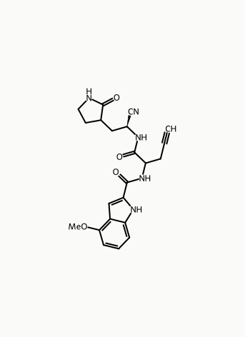 C#CCC(NC(=O)c1cc2c(OC)cccc2[nH]1)C(=O)N[C@H](C#N)CC1CCNC1=O